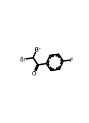 O=C(c1ccc(F)cc1)C(Br)Br